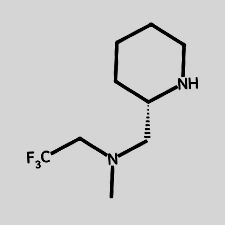 CN(C[C@@H]1CCCCN1)CC(F)(F)F